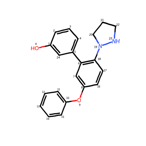 Oc1cccc(-c2cc(Oc3ccccc3)ccc2N2CCCN2)c1